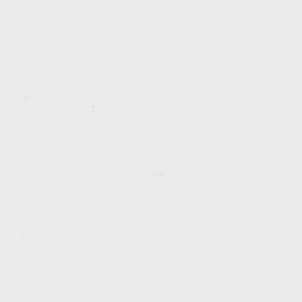 C=C1C(O)C/C(=C\C(=O)OCC)C[C@H]1O[Si](c1ccccc1)(c1ccccc1)C(C)(C)C